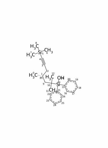 C[C@H](CC#C[Si](C)(C)C)CC(C)(C)[Si](O)(c1ccccc1)c1ccccc1